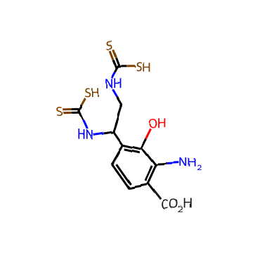 Nc1c(C(=O)O)ccc(C(CNC(=S)S)NC(=S)S)c1O